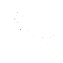 COc1ccccc1-c1c(C(=O)N[C@@H](CO)Cc2c[nH]c3ccccc23)nc2n1CCc1cc(OC)c(OC)nc1-2